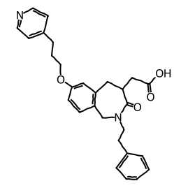 O=C(O)CC1Cc2cc(OCCCc3ccncc3)ccc2CN(CCc2ccccc2)C1=O